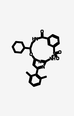 Cc1cccc(C)c1-c1cc2nc(n1)NS(=O)(=O)c1cccc(c1)C(=O)NCC(C1CCCCC1)O2